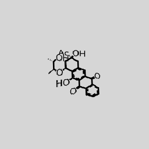 CC(=O)[C@]1(O)Cc2cc3c(c(O)c2[C@@H](O[C@@H](C)[C@H](C)O)C1)C(=O)c1ccccc1C3=O